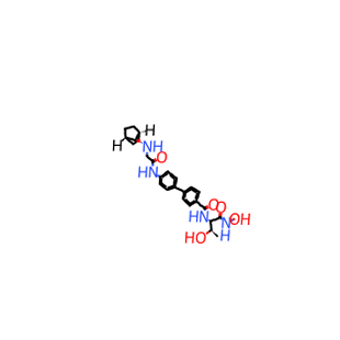 C[C@@H](O)[C@H](NC(=O)c1ccc(-c2ccc(NC(=O)CN[C@@H]3C[C@@H]4CC[C@@H]3C4)cc2)cc1)C(=O)NO